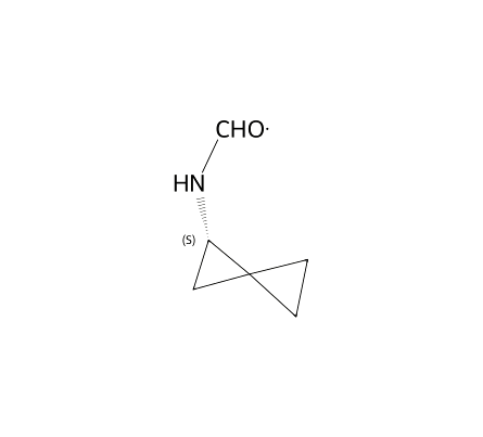 O=[C]N[C@H]1CC12CC2